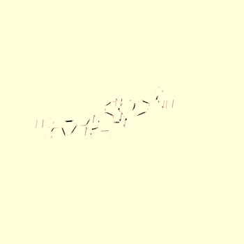 CC(C)c1nn(-c2ccc(C(N)=O)cc2Cl)c2nccc(-n3cnc(-c4ccc(C(=O)O)cc4)c3)c12